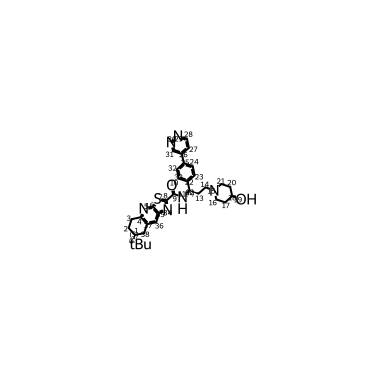 CC(C)(C)[C@H]1CCc2nc3sc(C(=O)N[C@H](CCN4CCC(O)CC4)c4ccc(-c5ccnnc5)cc4)nc3cc2C1